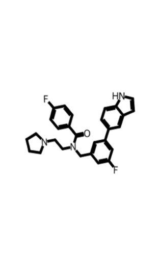 O=C(c1ccc(F)cc1)N(CCN1CCCC1)Cc1cc(F)cc(-c2ccc3[nH]ccc3c2)c1